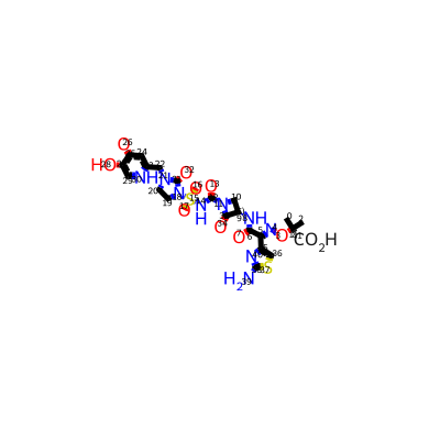 CC(C)(ON=C(C(=O)N[C@H]1CN(C(=O)NS(=O)(=O)N2CCN(Cc3cc(=O)c(O)c[nH]3)C2=O)C1=O)c1csc(N)n1)C(=O)O